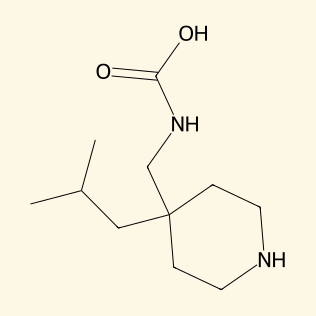 CC(C)CC1(CNC(=O)O)CCNCC1